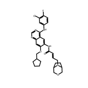 O=C(/C=C/CN1C2CCC1COC2)Nc1cc2c(Nc3ccc(F)c(Cl)c3)ncnc2cc1OCC1CCCC1